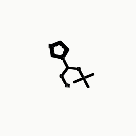 CCOC(O[Si](C)(C)C)n1ccnc1